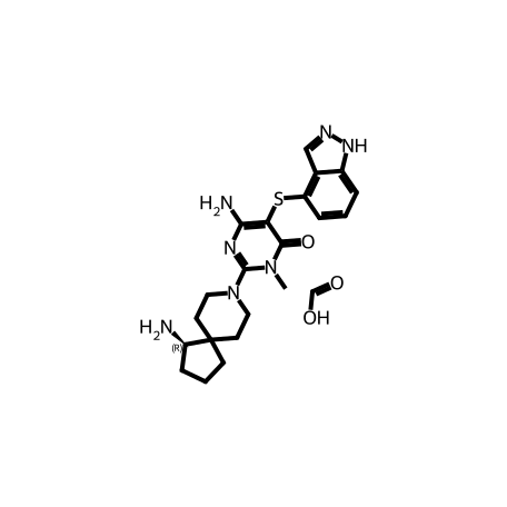 Cn1c(N2CCC3(CCC[C@H]3N)CC2)nc(N)c(Sc2cccc3[nH]ncc23)c1=O.O=CO